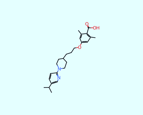 Cc1cc(OCCCC2CCN(c3ccc(C(C)C)cn3)CC2)cc(C)c1C(=O)O